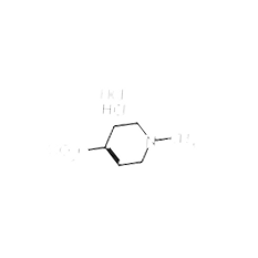 CN1CC=C(C(=O)O)CC1.Cl.Cl